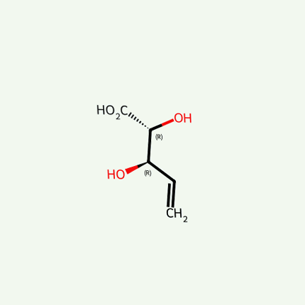 C=C[C@@H](O)[C@@H](O)C(=O)O